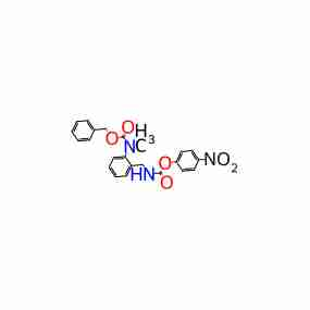 CN(C(=O)OCc1ccccc1)c1ccccc1CNC(=O)Oc1ccc([N+](=O)[O-])cc1